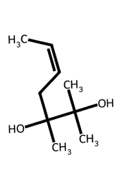 C/C=C\CC(C)(O)C(C)(C)O